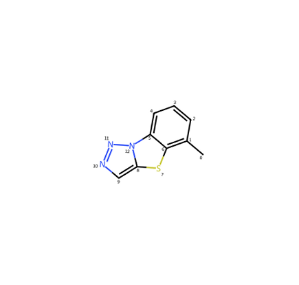 Cc1cccc2c1sc1cnnn12